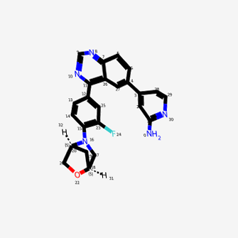 Nc1cc(-c2ccc3ncnc(-c4ccc(N5C[C@@H]6C[C@H]5CO6)c(F)c4)c3c2)ccn1